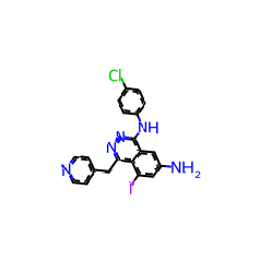 Nc1cc(I)c2c(Cc3ccncc3)nnc(Nc3ccc(Cl)cc3)c2c1